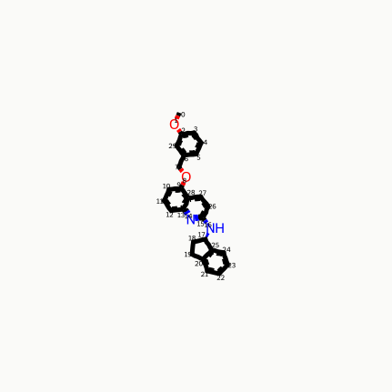 COc1cccc(COc2cccc3nc(N[C@@H]4CCc5ccccc54)ccc23)c1